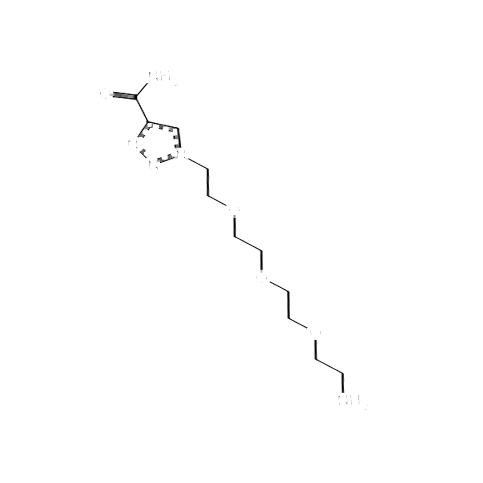 NCCOCCOCCOCCn1cc(C(N)=O)nn1